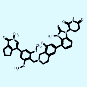 COc1cc(-c2cn(C)c(=O)c3c2CCC3)cc(OC)c1CN1CCc2cc(-c3cccc4c3n(C)c(=O)n4C3CCC(=O)NC3=O)cc(F)c2C1